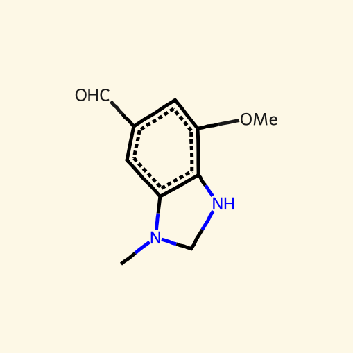 COc1cc(C=O)cc2c1NCN2C